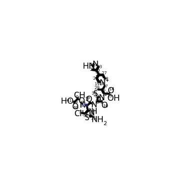 C[C@H](O/N=C(\C(=O)N[C@@H]1C(=O)N2C(C(=O)O)=C(C[n+]3ccc(-c4cn[nH]c4)cc3)CSC12)c1nc(N)sc1Cl)C(=O)O